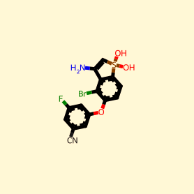 N#Cc1cc(F)cc(Oc2ccc3c(c2Br)C(N)=CS3(O)O)c1